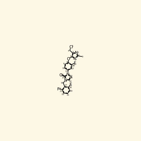 Cc1nc(CCl)c(Oc2ccc(-n3ncn(Cc4c(F)cccc4F)c3=O)cc2F)s1